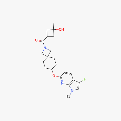 CCn1cc(F)c2ccc(OC3CCC4(CC3)CN(C(=O)C3CC(C)(O)C3)C4)nc21